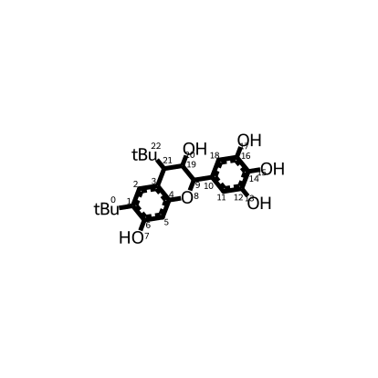 CC(C)(C)c1cc2c(cc1O)OC(c1cc(O)c(O)c(O)c1)C(O)C2C(C)(C)C